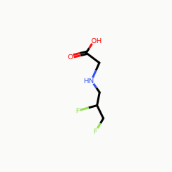 O=C(O)CNCC(F)CF